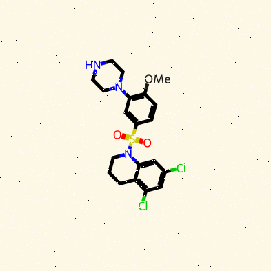 COc1ccc(S(=O)(=O)N2CCCc3c(Cl)cc(Cl)cc32)cc1N1CCNCC1